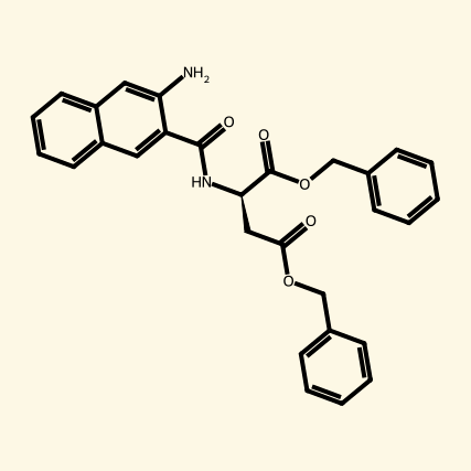 Nc1cc2ccccc2cc1C(=O)N[C@H](CC(=O)OCc1ccccc1)C(=O)OCc1ccccc1